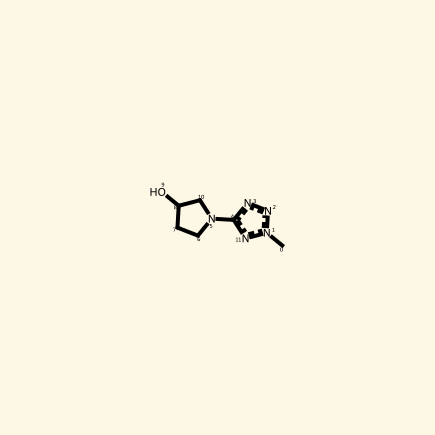 Cn1nnc(N2CCC(O)C2)n1